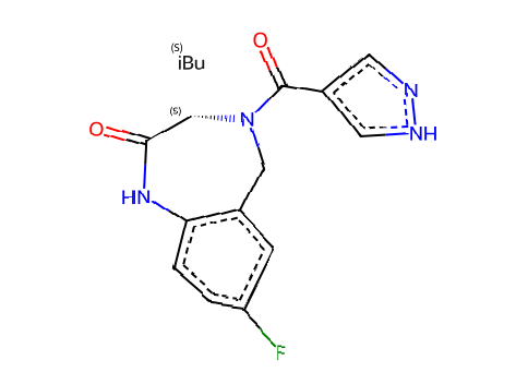 CC[C@H](C)[C@H]1C(=O)Nc2ccc(F)cc2CN1C(=O)c1cn[nH]c1